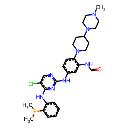 CN1CCN(C2CCN(c3ccc(Nc4ncc(Cl)c(Nc5ccccc5P(C)C)n4)cc3NC=O)CC2)CC1